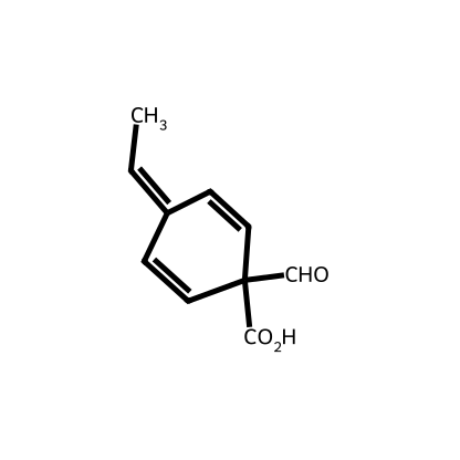 CC=C1C=CC(C=O)(C(=O)O)C=C1